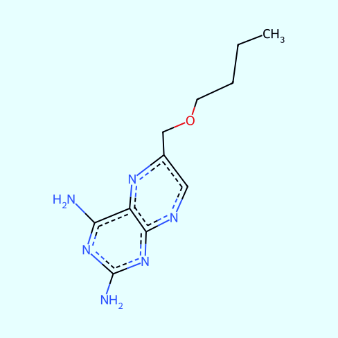 CCCCOCc1cnc2nc(N)nc(N)c2n1